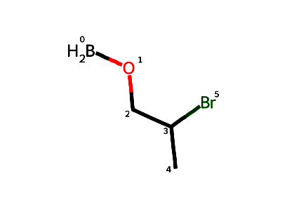 BOCC(C)Br